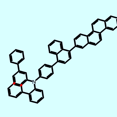 c1ccc(-c2cccc(N(c3ccc(-c4ccc(-c5ccc6c(ccc7c8ccccc8ccc67)c5)c5ccccc45)cc3)c3ccccc3-c3ccccc3)c2)cc1